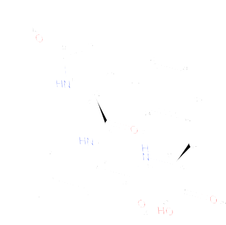 CC(C)C[C@H](NC(=O)[C@@H]1CCC(=O)N1)C(=O)N[C@@H](Cc1ccccc1)C(=O)O